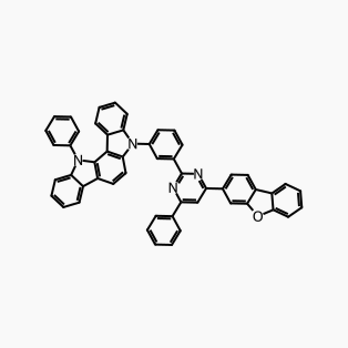 c1ccc(-c2cc(-c3ccc4c(c3)oc3ccccc34)nc(-c3cccc(-n4c5ccccc5c5c4ccc4c6ccccc6n(-c6ccccc6)c45)c3)n2)cc1